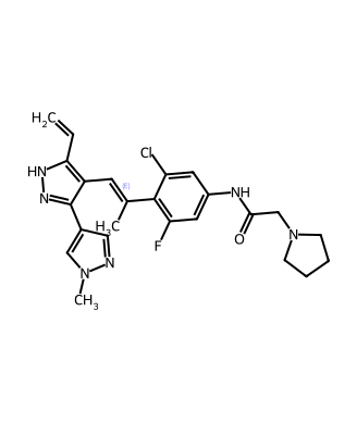 C=Cc1[nH]nc(-c2cnn(C)c2)c1/C=C(\C)c1c(F)cc(NC(=O)CN2CCCC2)cc1Cl